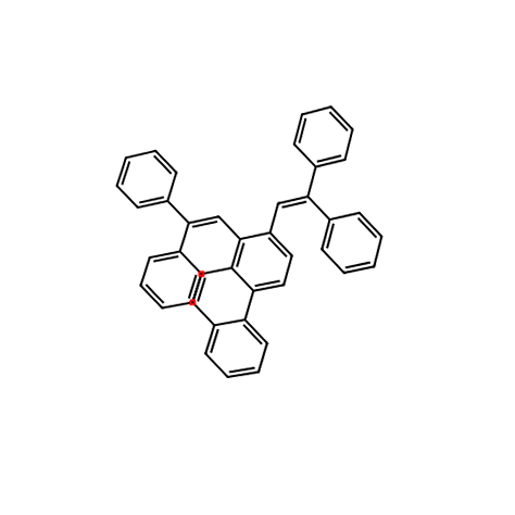 C(=C(c1ccccc1)c1ccccc1)c1ccc2c(ccc3ccccc32)c1C=C(c1ccccc1)c1ccccc1